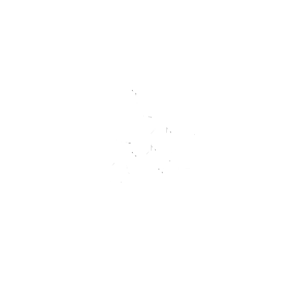 COc1ccc(-n2c(C3CCCN3C(=O)O)nc3c(N4CCOCC4)cc(C#N)cc3c2=O)cc1F